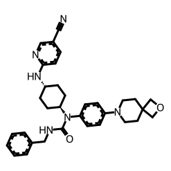 N#Cc1ccc(N[C@H]2CC[C@H](N(C(=O)NCc3ccccc3)c3ccc(N4CCC5(CC4)COC5)cc3)CC2)nc1